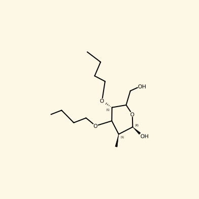 CCCCOC1[C@H](OCCCC)C(CO)O[C@@H](O)[C@H]1C